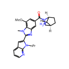 CCCn1c(-c2nc3cc(C(=O)N4C[C@@H]5CC[C@H]4[C@H]5N)cc(OC)c3n2C)cc2cccnc21